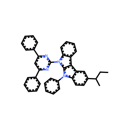 CCC(C)c1ccc2c(c1)c1c3ccccc3n(-c3nc(-c4ccccc4)cc(-c4ccccc4)n3)c1n2-c1ccccc1